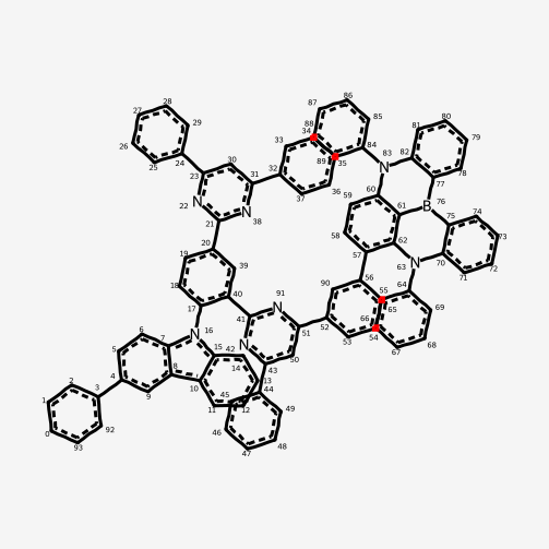 c1ccc(-c2ccc3c(c2)c2ccccc2n3-c2ccc(-c3nc(-c4ccccc4)cc(-c4ccccc4)n3)cc2-c2nc(-c3ccccc3)cc(-c3cccc(-c4ccc5c6c4N(c4ccccc4)c4ccccc4B6c4ccccc4N5c4ccccc4)c3)n2)cc1